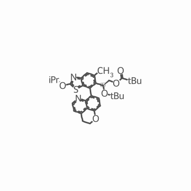 Cc1cc2nc(OC(C)C)sc2c(-c2ccc3c4c(ccnc24)CCO3)c1[C@@H](COC(=O)C(C)(C)C)OC(C)(C)C